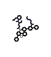 C=C/C=c1/cccc/c1=C(C)\C(C=C)=C\C=C(/C)N(c1ccc(-c2ccc(-c3ccccc3)c(/C(C)=C/C=C\C=C/C)c2)cc1)c1ccc(-c2ccccc2)c2oc3ccccc3c12